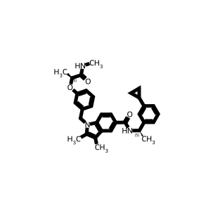 CNC(=O)[C@H](C)Oc1cccc(Cn2c(C)c(C)c3cc(C(=O)N[C@@H](C)c4cccc(C5CC5)c4)ccc32)c1